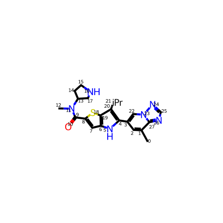 Cc1cc(-c2[nH]c3cc(C(=O)N(C)C4CCNC4)sc3c2C(C)C)cn2ncnc12